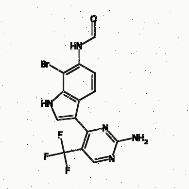 Nc1ncc(C(F)(F)F)c(-c2c[nH]c3c(Br)c(NC=O)ccc23)n1